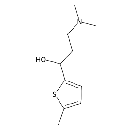 Cc1ccc(C(O)CCN(C)C)s1